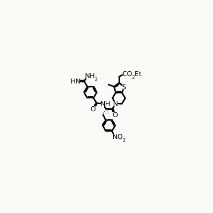 CCOC(=O)Cc1sc2c(c1C)CN(C(=O)[C@H](Cc1ccc([N+](=O)[O-])cc1)NC(=O)c1ccc(C(=N)N)cc1)CC2